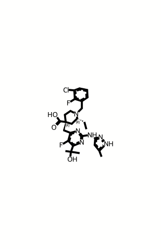 CC[C@@H]1C[C@](Cc2nc(Nc3cc(C)[nH]n3)nc(C(C)(C)O)c2F)(C(=O)O)CCN1Cc1cccc(Cl)c1F